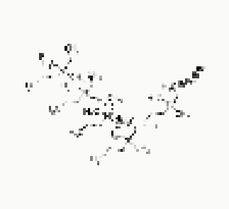 CCC[N+](C)(C)CC.CCC[N+](C)(C)CC.CCC[N+](C)(C)CC.CCC[N+](C)(C)CC.CCC[N+](C)(C)CC.[Br-].[Br-].[Br-].[Br-].[Br-]